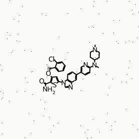 C[C@@H](Oc1cc(-n2cnc3cc(-c4ccc(N(C)C5CCN(C)CC5)nc4)ccc32)sc1C(N)=O)c1ccccc1Cl